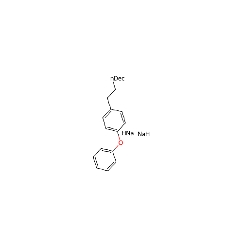 CCCCCCCCCCCCc1ccc(Oc2ccccc2)cc1.[NaH].[NaH]